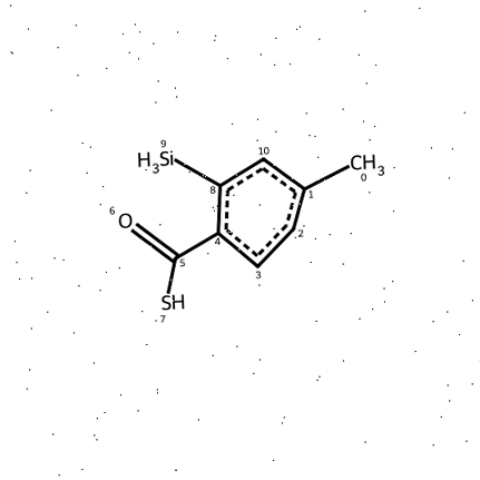 Cc1ccc(C(=O)S)c([SiH3])c1